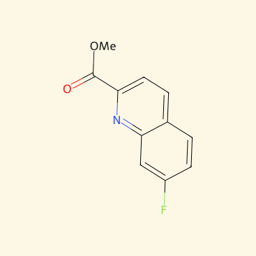 COC(=O)c1ccc2ccc(F)cc2n1